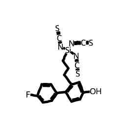 Oc1ccc(-c2ccc(F)cc2)c(CCC[Si](N=C=S)(N=C=S)N=C=S)c1